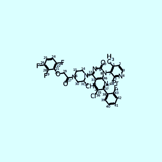 Cc1ccnc(C(C)C)c1-n1c(=O)nc(N2CCN(C(=O)COc3c(F)ccc(F)c3F)C[C@@H]2C)c2cc(Cl)c(-c3ccccc3F)nc21